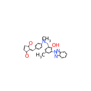 Cc1cc(CN(C)c2ccc(C=C3C(=O)C=CC3=O)cc2)c(O)c(-n2nc3ccccc3n2)c1